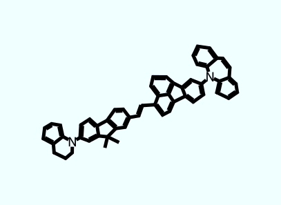 CC1(C)c2cc(/C=C/c3ccc4c5c(cccc35)-c3cc(N5c6ccccc6C=Cc6ccccc65)ccc3-4)ccc2-c2ccc(N3CCCc4ccccc43)cc21